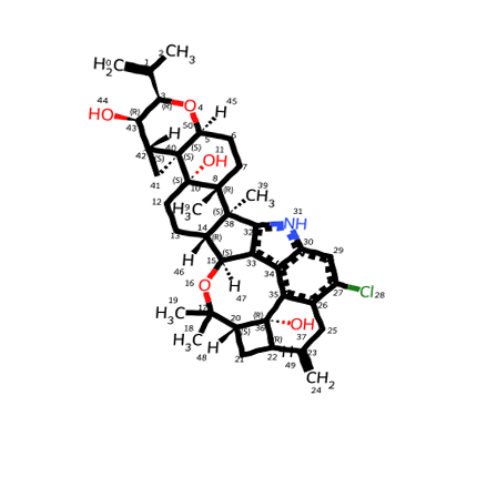 C=C(C)[C@H]1O[C@H]2CC[C@@]3(C)[C@@](O)(CC[C@H]4[C@@H]5OC(C)(C)[C@H]6C[C@@H]7C(=C)Cc8c(Cl)cc9[nH]c(c5c9c8[C@@]76O)[C@@]43C)[C@]23C[C@@H]3[C@H]1O